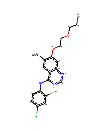 COc1cc2c(Nc3ccc(Cl)cc3F)ncnc2cc1OCCOCCBr